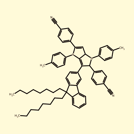 CCCCCCCCC1(CCCCCCCC)c2ccccc2-c2cc(C3=C4C(C=C(c5ccc(C#N)cc5)N4c4ccc(C)cc4)N(c4ccc(C)cc4)C3c3ccc(C#N)cc3)ccc21